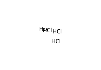 Cl.Cl.Cl.[Ho]